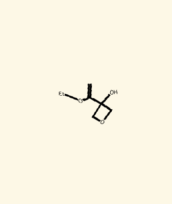 C=C(OCC)C1(O)COC1